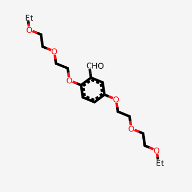 CCOCCOCCOc1ccc(OCCOCCOCC)c(C=O)c1